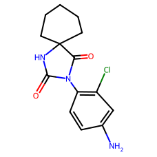 Nc1ccc(N2C(=O)NC3(CCCCC3)C2=O)c(Cl)c1